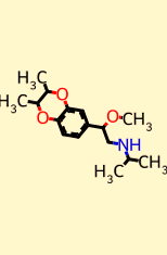 COC(CNC(C)C)c1ccc2c(c1)OC(C)C(C)O2